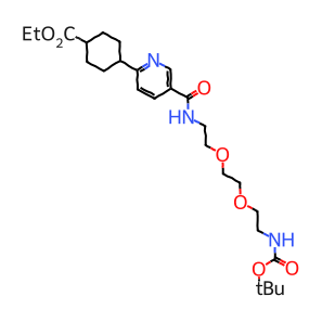 CCOC(=O)C1CCC(c2ccc(C(=O)NCCOCCOCCNC(=O)OC(C)(C)C)cn2)CC1